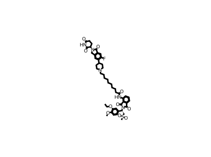 CCOc1cc([C@@H](CS(C)(=O)=O)N2C(=O)c3cccc(NC(=O)CCCCCCCCCN4CCC(c5cc6c(cc5F)C(=O)N(C5CCC(=O)NC5=O)C6)CC4)c3C2=O)ccc1OC